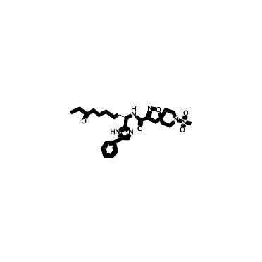 CCC(=O)CCCCC[C@H](NC(=O)C1=NOC2(CCN(S(C)(=O)=O)CC2)C1)c1ncc(-c2ccccc2)[nH]1